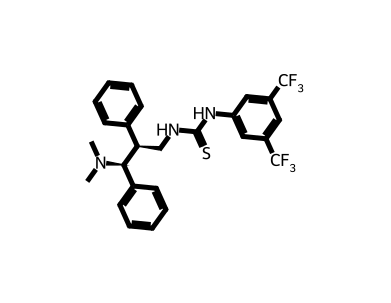 CN(C)[C@H](c1ccccc1)[C@H](CNC(=S)Nc1cc(C(F)(F)F)cc(C(F)(F)F)c1)c1ccccc1